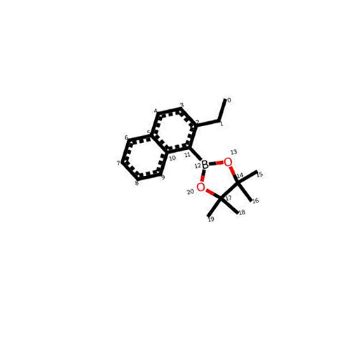 CCc1ccc2ccccc2c1B1OC(C)(C)C(C)(C)O1